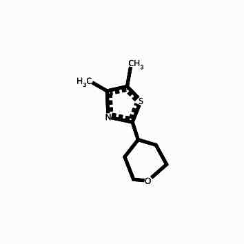 Cc1nc(C2CCOCC2)sc1C